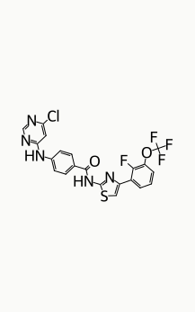 O=C(Nc1nc(-c2cccc(OC(F)(F)F)c2F)cs1)c1ccc(Nc2cc(Cl)ncn2)cc1